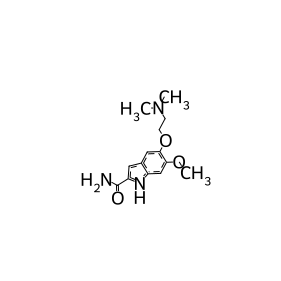 COc1cc2[nH]c(C(N)=O)cc2cc1OCCN(C)C